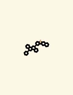 c1ccc(-c2cc3c4ccccc4c(-c4ccc5sc6cc7ccccc7cc6c5c4)cc3c3ccccc23)cc1